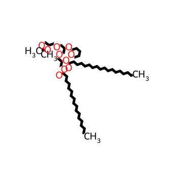 CCCCCCCCCCCCCCCCCC(=O)OCC(COCC(COCC1COC(C)(C)O1)OC1CCCCO1)OC(=O)CCCCCCCCCCCCCCCCC